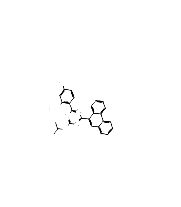 CC(C)Oc1nc(-c2ccc(O)cc2O)nc(-c2cc3ccccc3c3ccccc23)n1